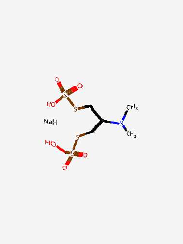 CN(C)C(CSS(=O)(=O)O)CSS(=O)(=O)O.[NaH]